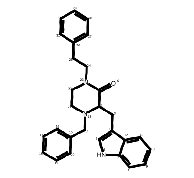 O=C1C(Cc2c[nH]c3ccccc23)N(Cc2ccccc2)CCN1CCc1ccccc1